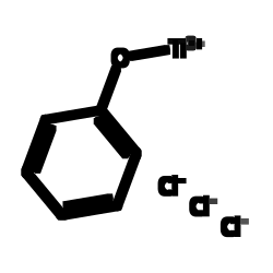 [Cl-].[Cl-].[Cl-].[Ti+3][O]c1ccccc1